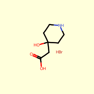 Br.O=C(O)CC1(O)CCNCC1